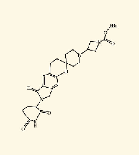 CC(C)(C)OC(=O)N1CC(N2CCC3(CCc4cc5c(cc4O3)CN(C3CCC(=O)NC3=O)C5=O)CC2)C1